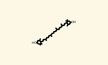 CC1=C(/C=C/C(C)=C/C=C/C(C)=C/C=C/C=C(C)/C=C/C=C(C)/C=C/C2=C(C)C=C(O)CC2(C)C)C(C)(C)CC(O)=C1